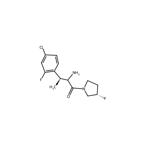 C[C@@H](c1ccc(Cl)cc1F)C(N)C(=O)N1CC[C@H](F)C1